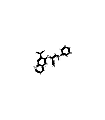 CC(C)c1cc2ncccc2cc1OC(C#N)=CNc1ccccc1